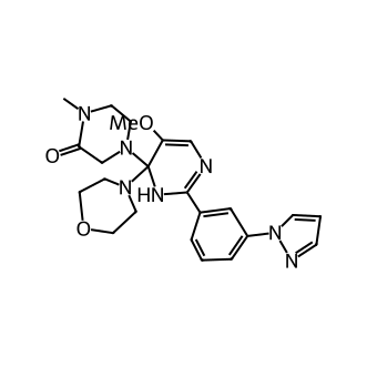 COC1=CN=C(c2cccc(-n3cccn3)c2)NC1(N1CCOCC1)N1CCN(C)C(=O)C1